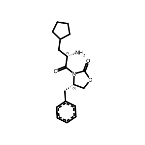 N[C@@H](CC1CCCC1)C(=O)N1C(=O)OC[C@@H]1Cc1ccccc1